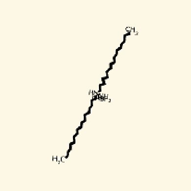 Br.Br.CCCCCCCCCCCCCCCCCCNCCCCCCCCCCCCCCCCCC.N